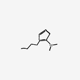 CCCCC1=[C]([Hf]([CH3])[CH3])CC=C1